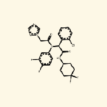 O=C(NC1CCC(F)(F)CC1)C(c1ccccc1Cl)N(C(=O)Cn1cncn1)c1ccc(F)c(F)c1